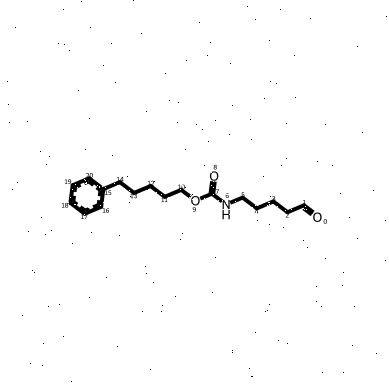 O=CCCCCNC(=O)OCCCCCc1ccccc1